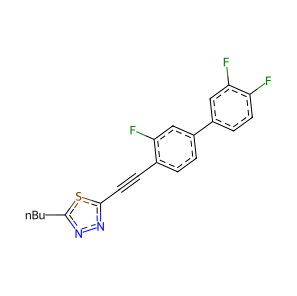 CCCCc1nnc(C#Cc2ccc(-c3ccc(F)c(F)c3)cc2F)s1